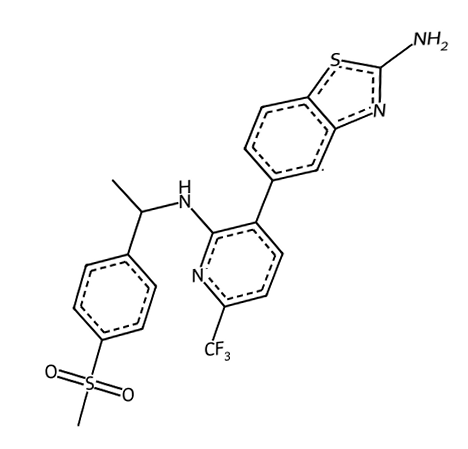 CC(Nc1nc(C(F)(F)F)ccc1-c1[c]c2nc(N)sc2cc1)c1ccc(S(C)(=O)=O)cc1